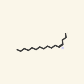 [CH2]CC/C=C\CCCCCCCCCCC